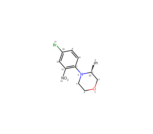 CC(C)[C@H]1COCCN1c1ccc(Br)cc1[N+](=O)[O-]